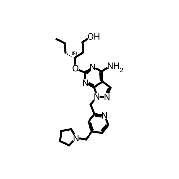 CCC[C@H](CCO)Oc1nc(N)c2cnn(Cc3cc(CN4CCCC4)ccn3)c2n1